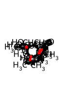 CC[C@H]1OC(=O)[C@H](C)[C@@H](O[C@H]2C[C@@](C)(OC)[C@@H](O)[C@H](C)O2)[C@H](C)[C@@H](O[C@@H]2O[C@H](C)C[C@H](N(C)CCc3cn([C@H](CF)[C@H](OC)c4ccc(CN5CCOCC5)cc4)nn3)[C@H]2O)[C@](C)(O)C[C@@H](C)CN(C)[C@H](C)[C@@H](O)[C@]1(C)O